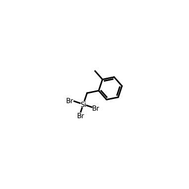 Cc1ccccc1C[Si](Br)(Br)Br